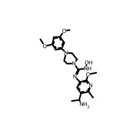 COc1cc(OC)cc(N2CCN(C(=Nc3cc(C(C)N)c(C)nc3OC)NO)CC2)c1